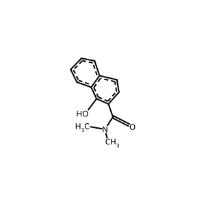 CN(C)C(=O)c1ccc2ccccc2c1O